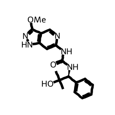 COc1n[nH]c2cc(NC(=O)N[C@@H](c3ccccc3)C(C)(C)O)ncc12